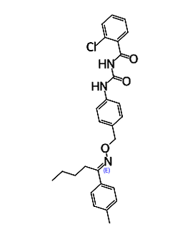 CCCC/C(=N\OCc1ccc(NC(=O)NC(=O)c2ccccc2Cl)cc1)c1ccc(C)cc1